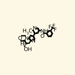 Cc1ncc(NC(=O)c2cccc(C(F)(F)F)c2)cc1-c1cnc2c(c1)N1CCOC[C@@H]1[C@H](CO)C2